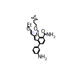 CCO/C=C/c1cc2c(-c3cccc(N)c3)ccc(C(N)=O)c2n1COCC[Si](C)(C)C